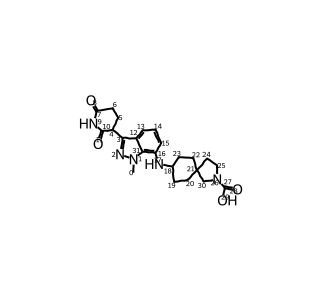 Cn1nc(C2CCC(=O)NC2=O)c2cccc(NC3CCC4(CC3)CCN(C(=O)O)C4)c21